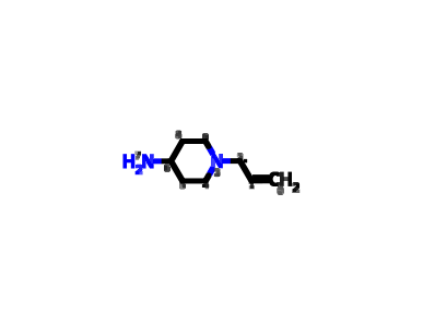 C=C[CH]N1CCC(N)CC1